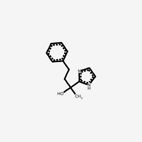 CC(O)(CCc1ccccc1)c1ncc[nH]1